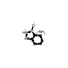 N.[O-][n+]1[nH]nc2ccccc21